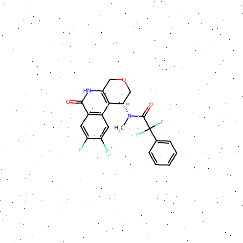 CN(C(=O)C(F)(F)c1ccccc1)[C@H]1COCc2[nH]c(=O)c3cc(F)c(F)cc3c21